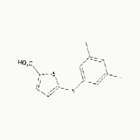 Cc1cc(C)cc(Sc2ccc(C(=O)O)s2)c1